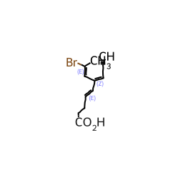 C#C/C=C(/C=C/CCC(=O)O)\C=C(/C)Br